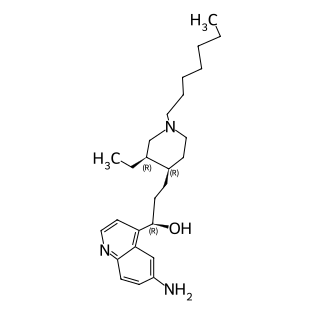 CCCCCCCN1CC[C@@H](CC[C@@H](O)c2ccnc3ccc(N)cc23)[C@@H](CC)C1